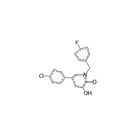 O=c1c(O)cc(-c2ccc(Cl)cc2)cn1Cc1ccc(F)cc1